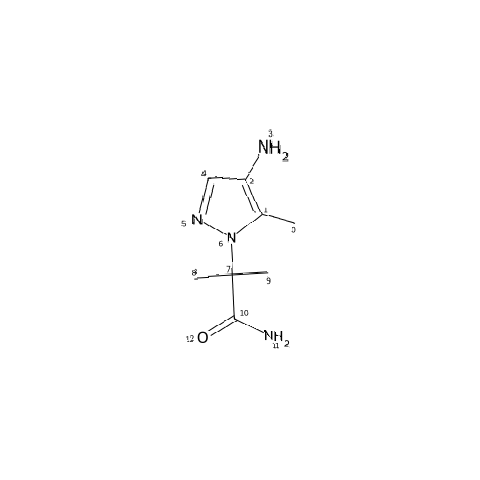 Cc1c(N)cnn1C(C)(C)C(N)=O